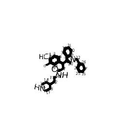 Cc1cccc(C(CC(=O)NCCC2CCNCC2)c2cn(Cc3ccccc3)c3ccccc23)c1.Cl